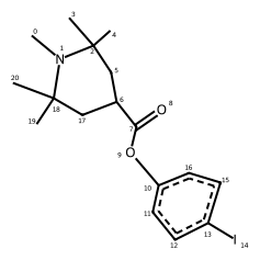 CN1C(C)(C)CC(C(=O)Oc2ccc(I)cc2)CC1(C)C